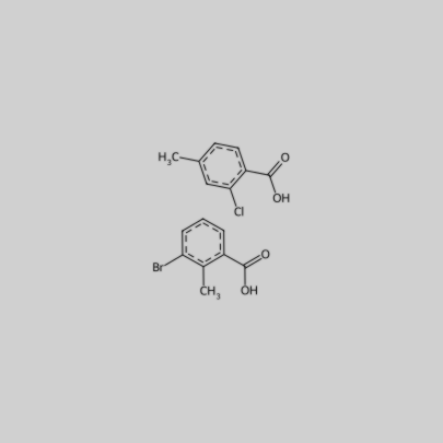 Cc1c(Br)cccc1C(=O)O.Cc1ccc(C(=O)O)c(Cl)c1